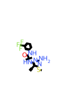 C#Cc1c(NC(C)(C)C(=O)Nc2cccc(C(F)(F)F)c2)nc(N)nc1SC